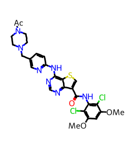 COc1cc(OC)c(Cl)c(NC(=O)c2csc3c(Nc4ccc(CN5CCN(C(C)=O)CC5)cn4)ncnc23)c1Cl